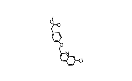 COC(=O)Cc1ccc(OCc2ccc3ccc(Cl)cc3n2)cc1